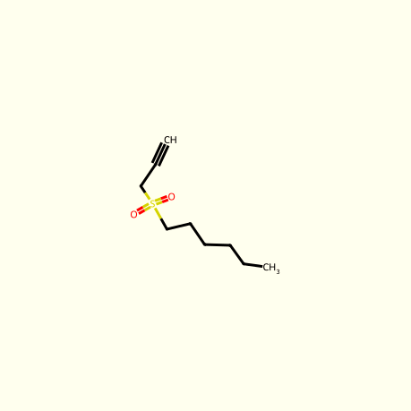 C#CCS(=O)(=O)CCCCCC